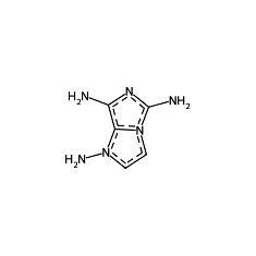 Nc1nc(N)n2ccn(N)c12